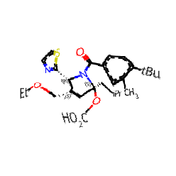 CCOC[C@H]1C[C@](CC(C)C)(OC(=O)O)N(C(=O)c2ccc(C(C)(C)C)c(C)c2)[C@H]1c1nccs1